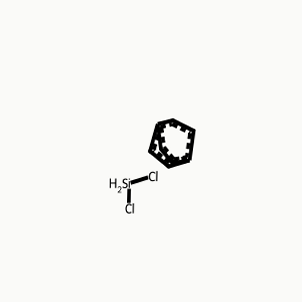 Cl[SiH2]Cl.c1cc2ccc1cc2